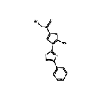 CCc1sc(C(=O)OC(C)C)cc1-c1nc(-c2ccccc2)cs1